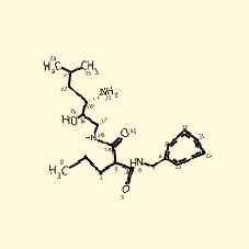 CCCC(C(=O)NCc1ccccc1)C(=O)NCC(O)[C@@H](N)CC(C)C